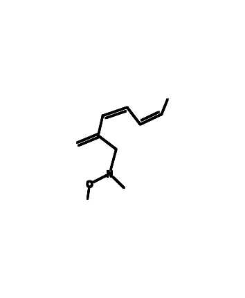 C=C(/C=C\C=C/C)CN(C)OC